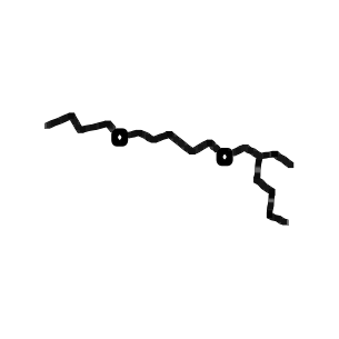 CCCCOCCCCCOCC(CC)CCCC